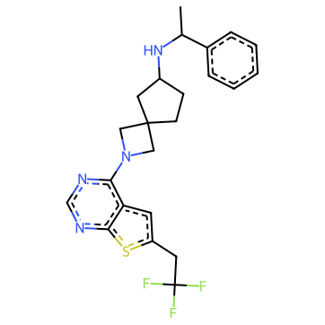 CC(NC1CCC2(C1)CN(c1ncnc3sc(CC(F)(F)F)cc13)C2)c1ccccc1